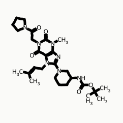 CC(C)=CCn1c(N2CCCC(NC(=O)OC(C)(C)C)C2)nc2c1c(=O)n(CC(=O)N1CCCC1)c(=O)n2C